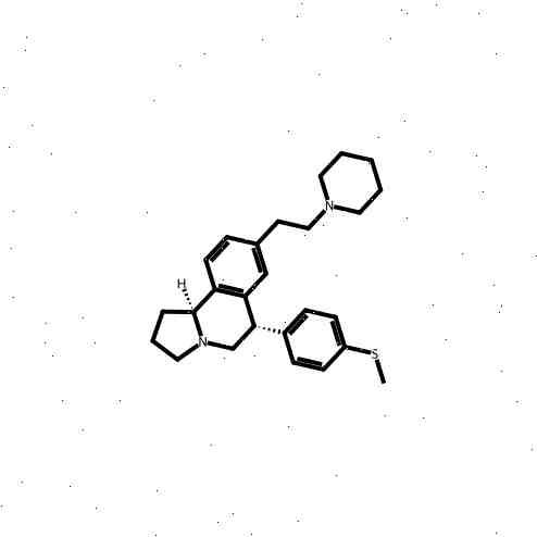 CSc1ccc([C@@H]2CN3CCC[C@H]3c3ccc(CCN4CCCCC4)cc32)cc1